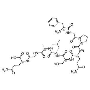 CC(C)C[C@H](NC(=O)[C@H](CO)NC(=O)[C@H](CCC(N)=O)NC(=O)[C@@H]1CCCN1C(=O)CNC(=O)[C@@H](N)Cc1ccccc1)C(=O)N[C@@H](C)C(=O)NCC(=O)N[C@@H](CCC(N)=O)C(=O)O